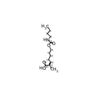 CCCCNC(=O)OCCCCC=C(C)C(=O)O